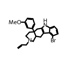 C=CCN1CCC2(c3cccc(OC)c3)Cc3[nH]c4cccc(Br)c4c3CC2C1